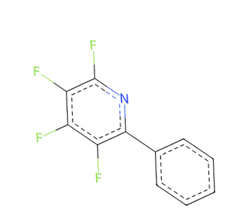 Fc1nc(-c2ccccc2)c(F)c(F)c1F